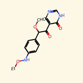 CCONc1ccc(C(OC=O)C(=O)c2cnc[nH]c2=O)cc1